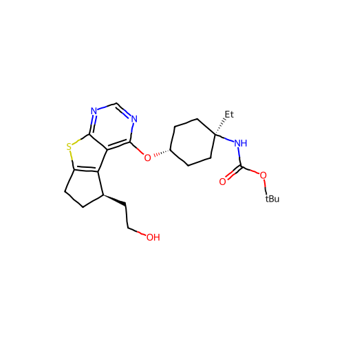 CC[C@]1(NC(=O)OC(C)(C)C)CC[C@H](Oc2ncnc3sc4c(c23)[C@@H](CCO)CC4)CC1